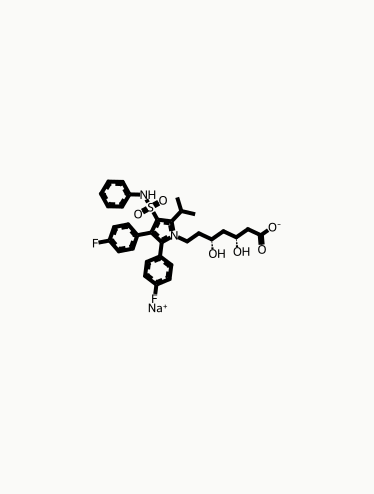 CC(C)c1c(S(=O)(=O)Nc2ccccc2)c(-c2ccc(F)cc2)c(-c2ccc(F)cc2)n1CC[C@@H](O)C[C@@H](O)CC(=O)[O-].[Na+]